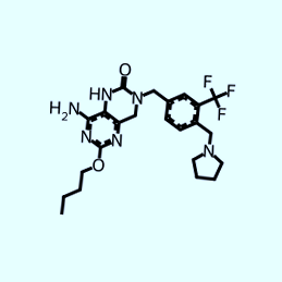 CCCCOc1nc(N)c2c(n1)CN(Cc1ccc(CN3CCCC3)c(C(F)(F)F)c1)C(=O)N2